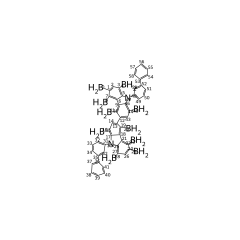 Bc1cc(B)c2c(c1B)c1c(B)c(-c3cc(B)c4c(c3B)c3c(B)c(B)cc(B)c3n4-c3cccc(-c4ccccc4)c3)cc(B)c1n2-c1cccc(-c2ccccc2)c1